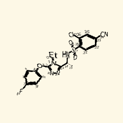 CCn1c(Oc2ccc(F)cc2)nnc1[C@@H](C)NS(=O)(=O)c1ccc(C#N)cc1Cl